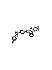 O=C(Cc1ccc(F)cc1)NC1CCN(CC[C@H](NS(=O)(=O)C2CCC(F)(F)CC2)c2ccccc2)CC1